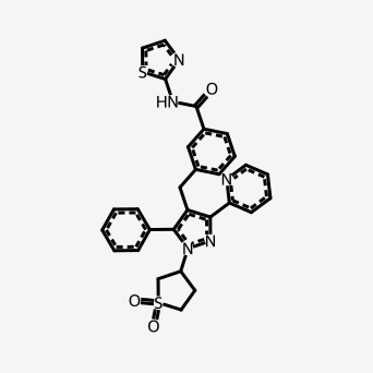 O=C(Nc1nccs1)c1cccc(Cc2c(-c3ccccn3)nn(C3CCS(=O)(=O)C3)c2-c2ccccc2)c1